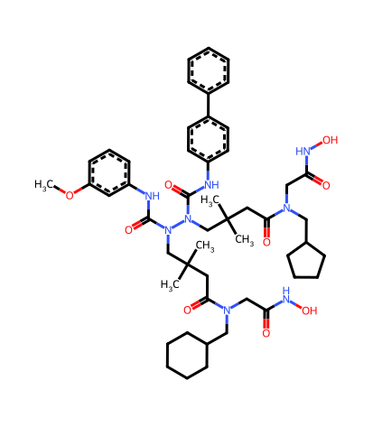 COc1cccc(NC(=O)N(CC(C)(C)CC(=O)N(CC(=O)NO)CC2CCCCC2)N(CC(C)(C)CC(=O)N(CC(=O)NO)CC2CCCC2)C(=O)Nc2ccc(-c3ccccc3)cc2)c1